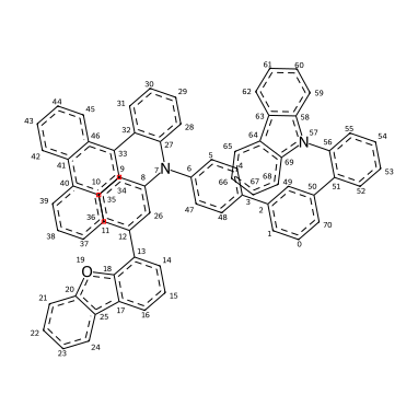 c1cc(-c2ccc(N(c3cccc(-c4cccc5c4oc4ccccc45)c3)c3ccccc3-c3cc4ccccc4c4ccccc34)cc2)cc(-c2ccccc2-n2c3ccccc3c3ccccc32)c1